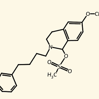 COc1ccc2c(c1)CCN(CCCCc1ccccc1)C2OS(C)(=O)=O